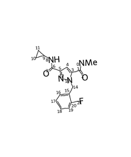 CNC(=O)c1cc(C(=O)NC2CC2)nn1Cc1ccccc1F